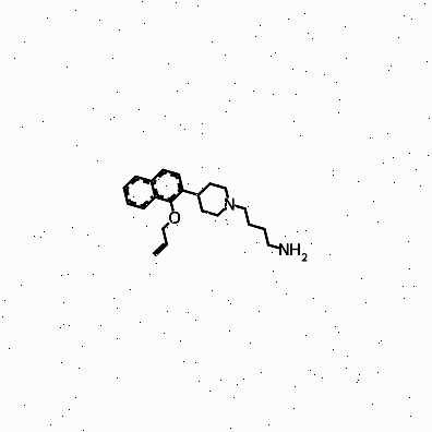 C=CCOc1c(C2CCN(CCCCN)CC2)ccc2ccccc12